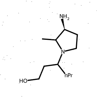 CCCC(CCO)N1CC[C@H](N)C1C